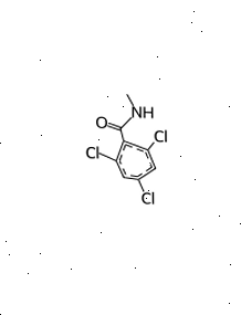 CNC(=O)c1c(Cl)cc(Cl)cc1Cl